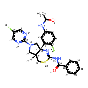 CC(O)Nc1ccc(F)c([C@]23CN(c4ncc(F)cn4)C[C@H]2CSC(NC(=O)c2ccccc2)=N3)c1